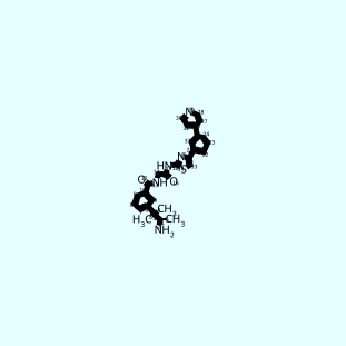 C[C@@H](N)C(C)(C)c1cccc(C(=O)NCC(=O)Nc2nc(-c3cccc(-c4ccncc4)c3)cs2)c1